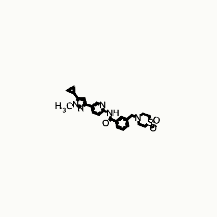 Cn1nc(-c2ccc(NC(=O)c3cccc(CN4CCS(=O)(=O)CC4)c3)nc2)cc1C1CC1